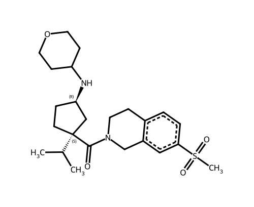 CC(C)[C@]1(C(=O)N2CCc3ccc(S(C)(=O)=O)cc3C2)CC[C@@H](NC2CCOCC2)C1